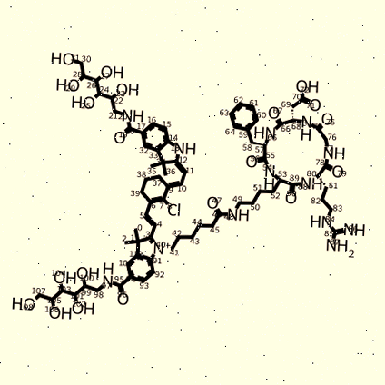 CC1(C)C(/C=C/C2=C(Cl)C(=C/C=C3/Nc4ccc(C(=O)NCC(O)C(O)C(O)C(O)CO)cc4C3(C)C)/CCC2)=[N+](CCCCCC(=O)NCCCCC2NC(=O)[C@@H](Cc3ccccc3)NC(=O)[C@H](CC(=O)O)NC(=O)CNC(=O)[C@H](CCCNC(=N)N)NC2=O)c2ccc(C(=O)NCC(O)C(O)C(O)C(O)CO)cc21